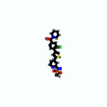 O=C(c1ccc(-c2csc(-c3ccnc(NS(=O)(=O)C(F)(F)F)c3)c2)c(Cl)c1)N1CCCCC1